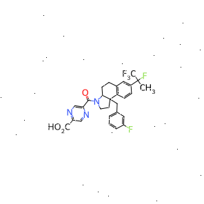 CC(F)(c1ccc2c(c1)CCC1N(C(=O)c3cnc(C(=O)O)cn3)CCC21Cc1cccc(F)c1)C(F)(F)F